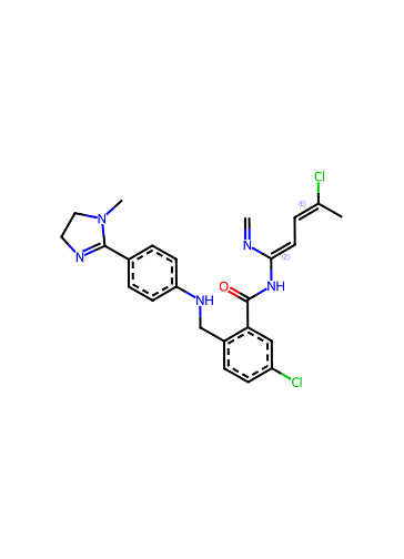 C=N/C(=C\C=C(/C)Cl)NC(=O)c1cc(Cl)ccc1CNc1ccc(C2=NCCN2C)cc1